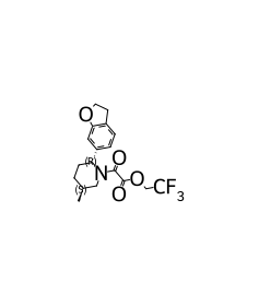 C[C@H]1CC[C@H](c2ccc3c(c2)OCC3)N(C(=O)C(=O)OCC(F)(F)F)C1